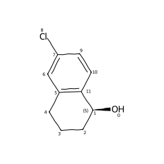 O[C@H]1CCCc2cc(Cl)ccc21